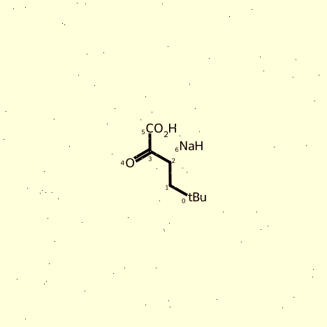 CC(C)(C)CCC(=O)C(=O)O.[NaH]